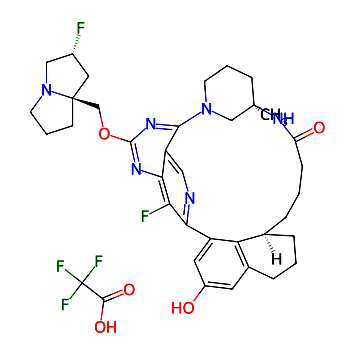 C[C@@]12CCCN(C1)c1nc(OC[C@@]34CCCN3C[C@H](F)C4)nc3c(F)c(ncc13)-c1cc(O)cc3c1[C@@H](CCCC(=O)N2)CCC3.O=C(O)C(F)(F)F